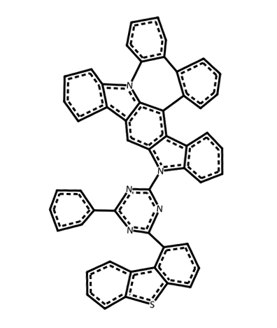 c1ccc(-c2nc(-c3cccc4sc5ccccc5c34)nc(-n3c4ccccc4c4c5c6c(cc43)c3ccccc3n6-c3ccccc3-c3ccccc3-5)n2)cc1